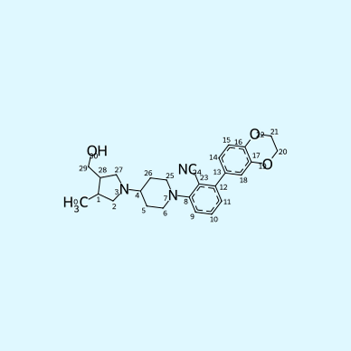 CC1CN(C2CCN(c3cccc(-c4ccc5c(c4)OCCO5)c3C#N)CC2)CC1CO